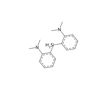 CN(C)c1ccccc1[SiH2]c1ccccc1N(C)C